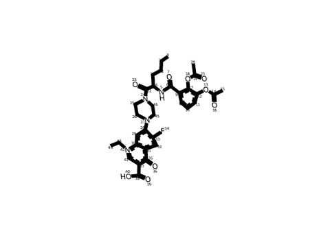 CCCCC(NC(=O)c1cccc(OC(C)=O)c1OC(C)=O)C(=O)N1CCN(c2cc3c(cc2F)c(=O)c(C(=O)O)cn3CC)CC1